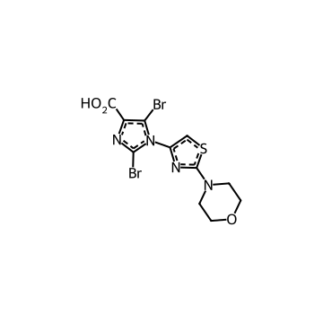 O=C(O)c1nc(Br)n(-c2csc(N3CCOCC3)n2)c1Br